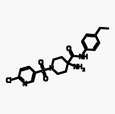 CCc1ccc(NC(=O)C2(N)CCN(S(=O)(=O)c3ccc(Cl)nc3)CC2)cc1